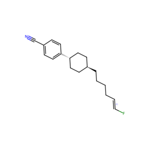 N#Cc1ccc([C@H]2CC[C@H](CCCC/C=C/F)CC2)cc1